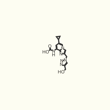 O=C(O)Nc1cc(C2CC2)cn2cc(Cn3cc(CO)nn3)nc12